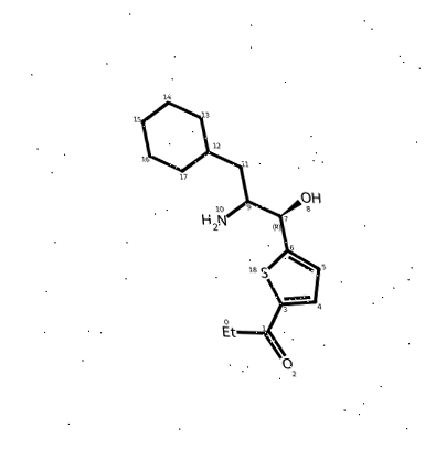 CCC(=O)c1ccc([C@H](O)C(N)CC2CCCCC2)s1